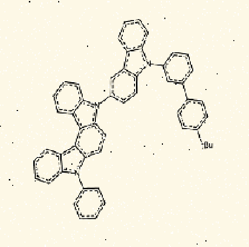 CC(C)(C)c1ccc(-c2cccc(-n3c4ccccc4c4cc(-n5c6ccccc6c6c7c8ccccc8n(-c8ccccc8)c7ccc65)ccc43)c2)cc1